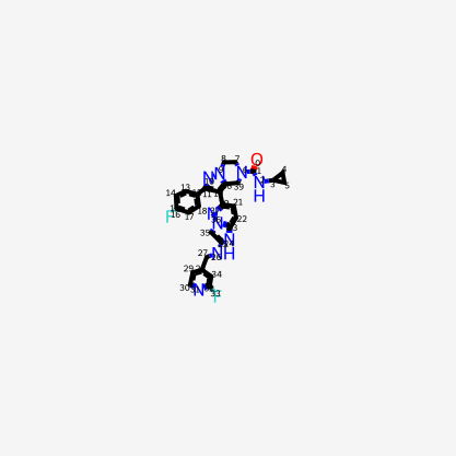 O=C(NC1CC1)N1CCn2nc(-c3ccc(F)cc3)c(-c3ccc4nc(NCc5ccnc(F)c5)cn4n3)c2C1